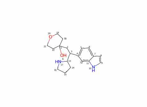 OC1(CC(c2ccc3cc[nH]c3c2)C2CCCN2)CCOCC1